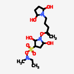 C=C(CCCN1C(O)CCC1O)ON1C(O)CC(S(=O)(=O)ON(C)CC)C1O